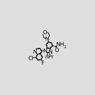 CCCc1nc2c(C(N)=O)cc(N3CCOCC3)cc2n1-c1ccnc2c(Cl)cc(F)cc12